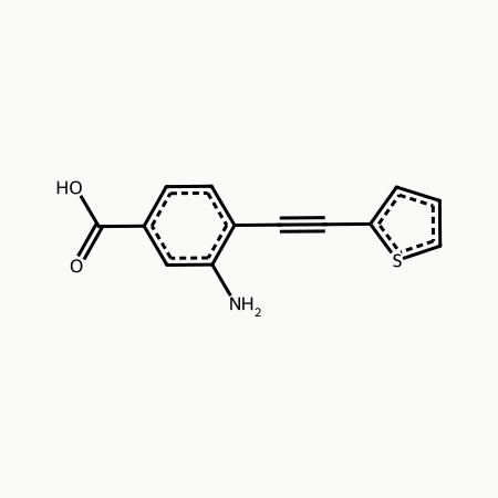 Nc1cc(C(=O)O)ccc1C#Cc1cccs1